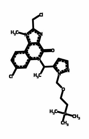 CC(c1ccnn1COCC[Si](C)(C)C)n1c(=O)c2nc(CCl)n(C)c2c2ccc(Cl)cc21